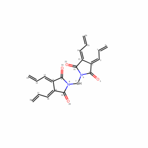 C=C/C=C1/C(=O)N(BN2C(=O)C(=C/C=C)/C(=C\C=C)C2=O)C(=O)/C1=C/C=C